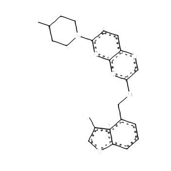 Cc1c[nH]c2cccc(CNc3cnc4ccc(N5CCC(O)CC5)nc4n3)c12